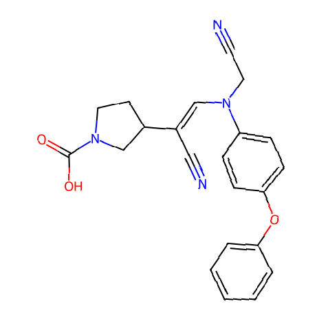 N#CCN(/C=C(\C#N)C1CCN(C(=O)O)C1)c1ccc(Oc2ccccc2)cc1